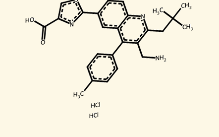 Cc1ccc(-c2c(CN)c(CC(C)(C)C)nc3ccc(-c4nc(C(=O)O)cs4)cc23)cc1.Cl.Cl